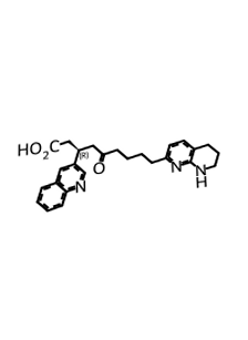 O=C(O)C[C@@H](CC(=O)CCCCc1ccc2c(n1)NCCC2)c1cnc2ccccc2c1